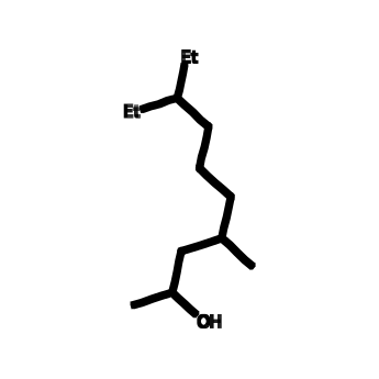 CCC(CC)CCCC(C)CC(C)O